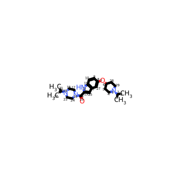 CC(C)N1CCC(Oc2ccc3[nH]c(C(=O)N4CCN(C(C)C)CC4)cc3c2)CC1